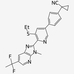 CCSc1cc(-c2ccc(C3(C#N)CC3)cc2)cnc1-c1nc2cc(C(C)(F)F)cnc2n1C